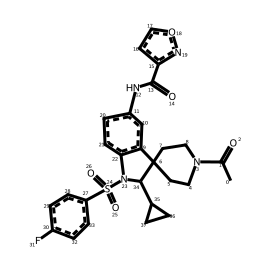 CC(=O)N1CCC2(CC1)c1cc(NC(=O)c3ccon3)ccc1N(S(=O)(=O)c1ccc(F)cc1)C2C1CC1